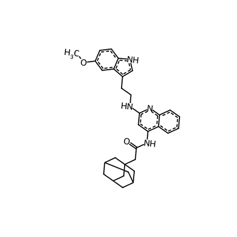 COc1ccc2[nH]cc(CCNc3cc(NC(=O)CC45CC6CC(CC(C6)C4)C5)c4ccccc4n3)c2c1